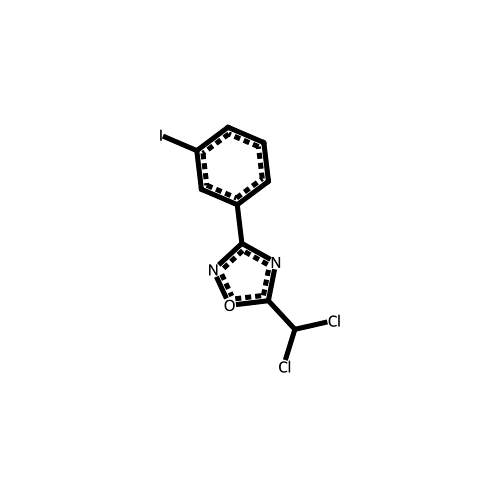 ClC(Cl)c1nc(-c2cccc(I)c2)no1